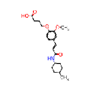 COc1cc(C=CC(=O)N[C@H]2CC[C@H](C)CC2)ccc1OCCCC(=O)O